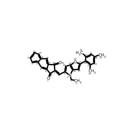 CCn1c(C=C2C(=O)c3cc4ccccc4cc3C2=O)cc2oc(-c3c(C)cc(C)cc3C)cc21